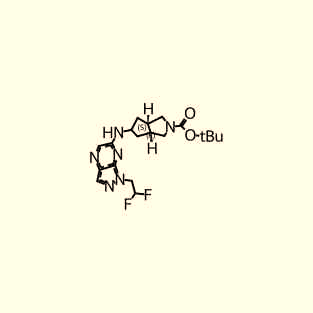 CC(C)(C)OC(=O)N1C[C@H]2CC(Nc3cnc4cnn(CC(F)F)c4n3)C[C@H]2C1